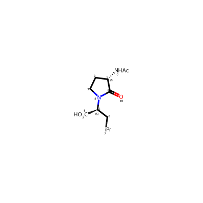 CC(=O)N[C@H]1CCN([C@@H](CC(C)C)C(=O)O)C1=O